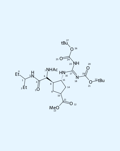 CCC(CC)NC(=O)C(NC(C)=O)[C@@H]1CC(C(=O)OC)C[C@H]1N/C(=N/C(=O)OC(C)(C)C)NC(=O)OC(C)(C)C